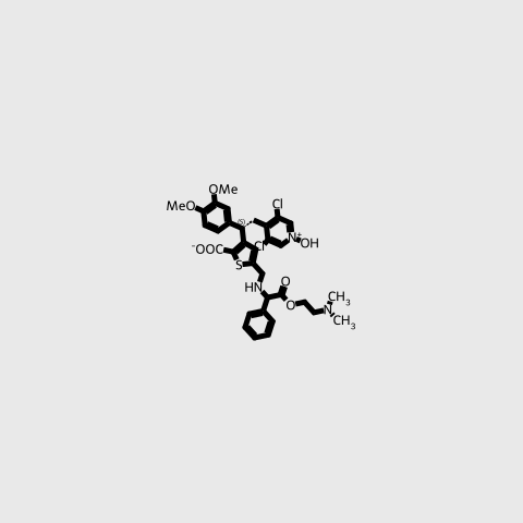 COc1ccc([C@H](Cc2c(Cl)c[n+](O)cc2Cl)c2cc(CNC(C(=O)OCCN(C)C)c3ccccc3)sc2C(=O)[O-])cc1OC